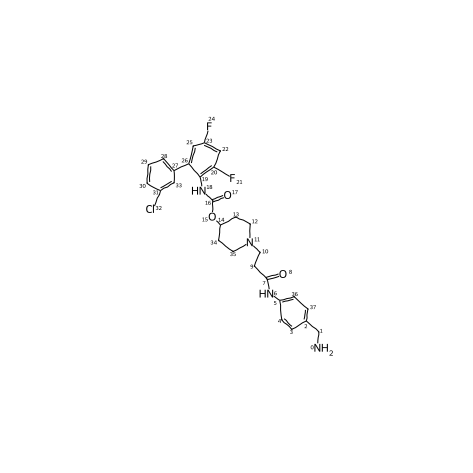 NCc1ccc(NC(=O)CCN2CCC(OC(=O)Nc3c(F)cc(F)cc3-c3cccc(Cl)c3)CC2)cc1